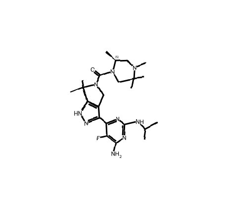 CC(C)Nc1nc(N)c(F)c(-c2n[nH]c3c2CN(C(=O)N2CC(C)(C)N(C)C[C@@H]2C)C3(C)C)n1